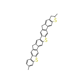 Cc1ccc2c(c1)sc1cc3c(cc12)Cc1cc2c(cc1-3)sc1cc3c(cc12)Cc1cc2c(cc1-3)SC(C)C2